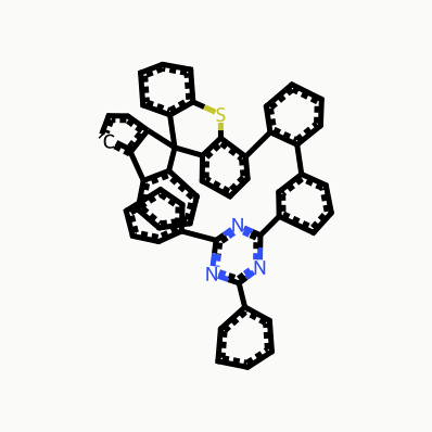 c1ccc(-c2nc(-c3ccccc3)nc(-c3cccc(-c4ccccc4-c4cccc5c4Sc4ccccc4C54c5ccccc5-c5ccccc54)c3)n2)cc1